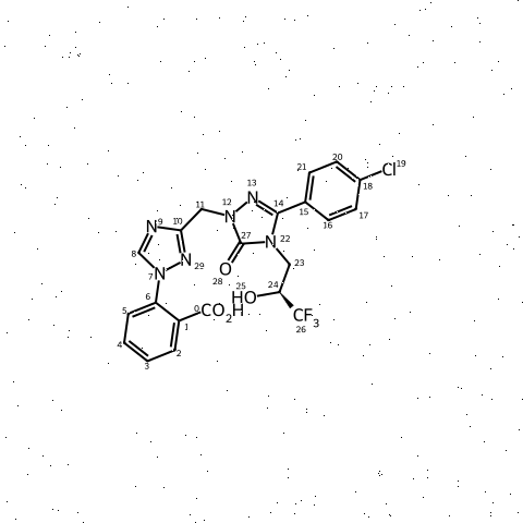 O=C(O)c1ccccc1-n1cnc(Cn2nc(-c3ccc(Cl)cc3)n(C[C@H](O)C(F)(F)F)c2=O)n1